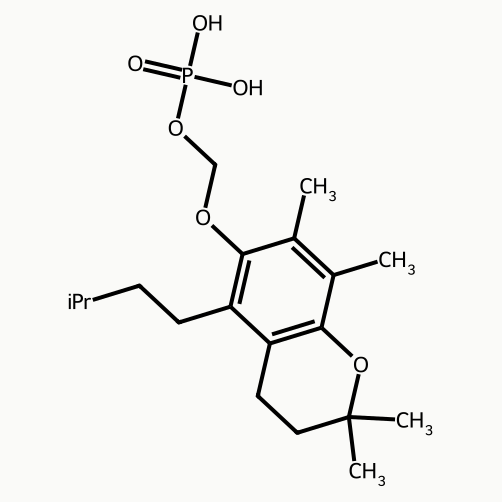 Cc1c(C)c2c(c(CCC(C)C)c1OCOP(=O)(O)O)CCC(C)(C)O2